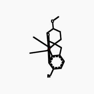 COC1CCC2(CC1)Cc1ccc(Br)cc1C21N=C(C)N(C)C1=O